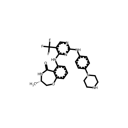 C[C@H]1COc2cccc(Nc3nc(Nc4ccc(N5CCNCC5)cc4)ncc3C(F)(F)F)c2C(=O)N1